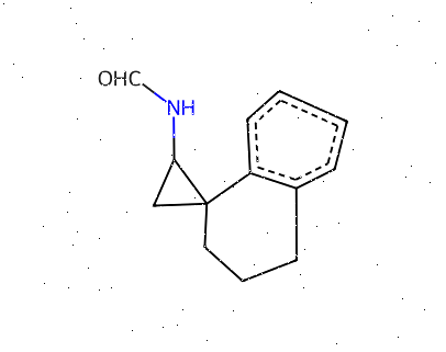 O=CNC1CC12CCCc1ccccc12